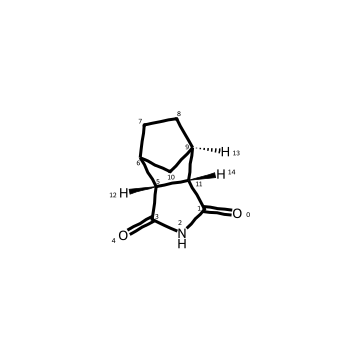 O=C1NC(=O)[C@@H]2C3CC[C@H](C3)[C@H]12